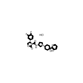 Cl.O=C(N[C@@H]1CCN([C@H]2CC[C@@](O)(c3ccccn3)CC2)C1)N1C(=O)OC[C@@H]1c1ccc(F)c(F)c1